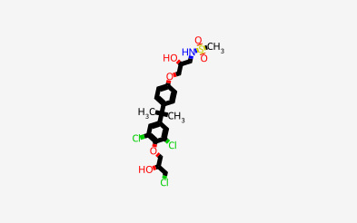 CC(C)(c1ccc(OCC(O)CNS(C)(=O)=O)cc1)c1cc(Cl)c(OCC(O)CCl)c(Cl)c1